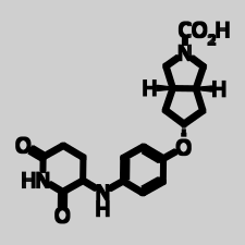 O=C1CCC(Nc2ccc(O[C@@H]3C[C@@H]4CN(C(=O)O)C[C@@H]4C3)cc2)C(=O)N1